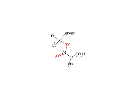 CCCCCC(CC)(CC)OC(=O)C(CCCC)C(=O)O